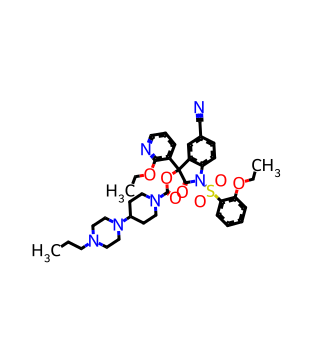 CCCN1CCN(C2CCN(C(=O)OC3(c4cccnc4OCC)C(=O)N(S(=O)(=O)c4ccccc4OCC)c4ccc(C#N)cc43)CC2)CC1